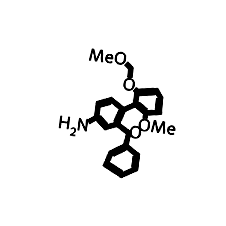 COCOc1cccc(OC)c1-c1ccc(N)cc1C(=O)c1ccccc1